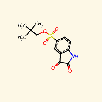 CC(C)(C)COS(=O)(=O)c1ccc2c(c1)C(=O)C(=O)N2